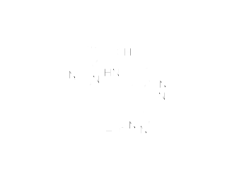 CC(Nc1ccc2[nH]nc(-c3cnn(C)c3)c2c1)c1cccc2nccnc12